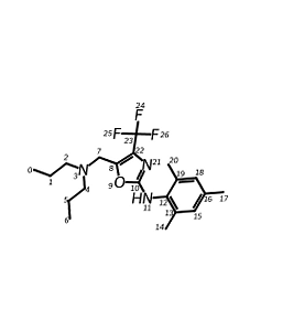 CCCN(CCC)Cc1oc(Nc2c(C)cc(C)cc2C)nc1C(F)(F)F